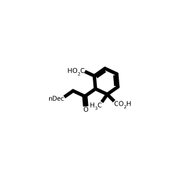 CCCCCCCCCCCC(=O)C1C(C(=O)O)=CC=CC1(C)C(=O)O